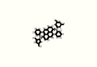 CC1=CC(C)CC(N(c2ccccc2)c2ccc3ccc4c(N(c5ccccc5)C5C=C(C)C=C5C)ccc5ccc2c3c54)=C1